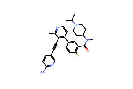 Cc1nccc(-c2ccc(F)c(C(=O)N(C)C3CCN(C(C)C)CC3)c2)c1C#Cc1ccc(N)nc1